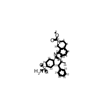 COC(=O)N1CCc2ccc3c(nc([C@H]4CC[C@@H](S(N)(=O)=O)CC4)n3[C@@H](C)Cc3ccccc3)c2C1